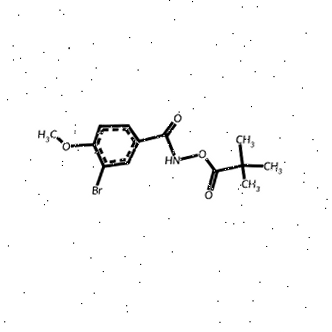 COc1ccc(C(=O)NOC(=O)C(C)(C)C)cc1Br